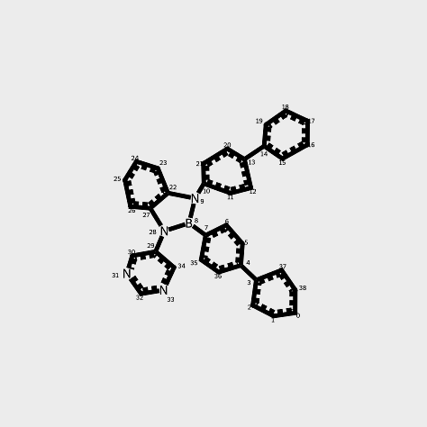 c1ccc(-c2ccc(B3N(c4ccc(-c5ccccc5)cc4)c4ccccc4N3c3cncnc3)cc2)cc1